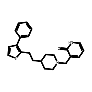 O=c1[nH]cccc1CN1CCC(CCc2sccc2-c2ccccc2)CC1